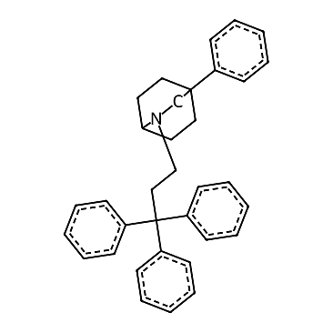 c1ccc(C23CCC(CC2)N(CCC(c2ccccc2)(c2ccccc2)c2ccccc2)C3)cc1